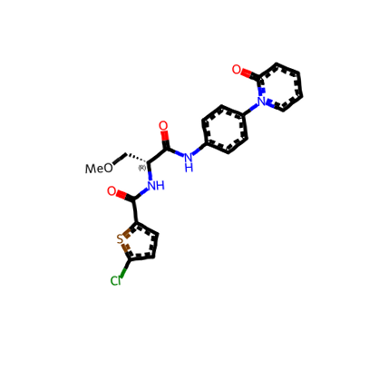 COC[C@@H](NC(=O)c1ccc(Cl)s1)C(=O)Nc1ccc(-n2ccccc2=O)cc1